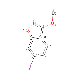 CCOc1noc2cc(I)ccc12